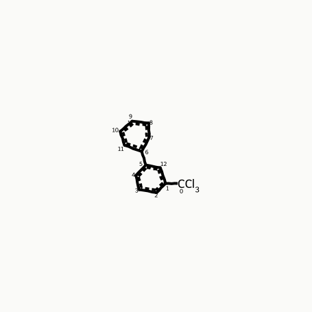 ClC(Cl)(Cl)c1cccc(-c2cc[c]cc2)c1